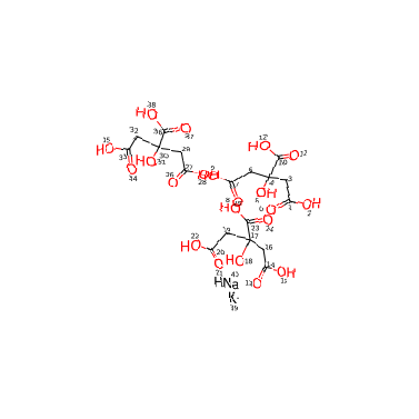 O=C(O)CC(O)(CC(=O)O)C(=O)O.O=C(O)CC(O)(CC(=O)O)C(=O)O.O=C(O)CC(O)(CC(=O)O)C(=O)O.[K].[NaH]